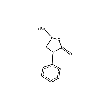 CCCCC1CN(c2ccccc2)C(=O)O1